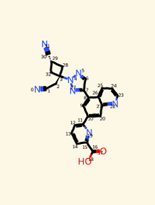 N#CC[C@]1(n2ncc(-c3cc(-c4cccc(C(=O)O)n4)cc4ncccc34)n2)C[C@@H](C#N)C1